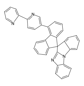 c1ccc(-c2ccc(-c3cccc4c3-c3ccccc3C43c4ccccc4-n4c3nc3ccccc34)cn2)nc1